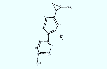 Cl.NC1CC1c1ccc(-c2ccc(O)cc2)nc1